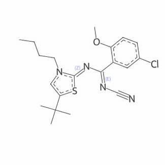 CCCCn1cc(C(C)(C)C)s/c1=N\C(=N\C#N)c1cc(Cl)ccc1OC